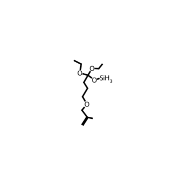 C=C(C)COCCCC(O[SiH3])(OCC)OCC